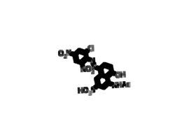 CC(=O)Nc1cc(S(=O)(=O)O)cc2c(/N=N/c3c(Cl)cc([N+](=O)[O-])cc3[N+](=O)[O-])ccc(O)c12